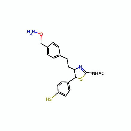 CC(=O)NC1=NC(CCc2ccc(CON)cc2)C(c2ccc(S)cc2)S1